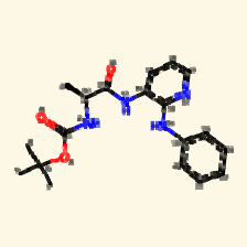 C[C@H](NC(=O)OC(C)(C)C)C(=O)Nc1cccnc1Nc1ccccc1